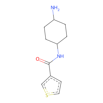 NC1CCC(NC(=O)c2ccsc2)CC1